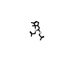 C=C(C)COC(CC1CC=C(C)C1(C)C)OCC(=C)C